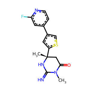 CN1C(=N)N[C@](C)(c2cc(-c3ccnc(F)c3)cs2)CC1=O